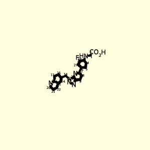 O=C(O)CNc1ccc(-c2ccc3nnn(Cc4ccc5ncccc5c4)c3n2)cc1F